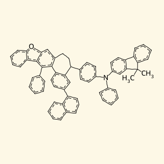 CC1(C)c2ccccc2-c2ccc(N(c3ccccc3)c3ccc(C4CCc5cc6oc7ccccc7c6c(-c6ccccc6)c5-c5ccc(-c6cccc7ccccc67)cc54)cc3)cc21